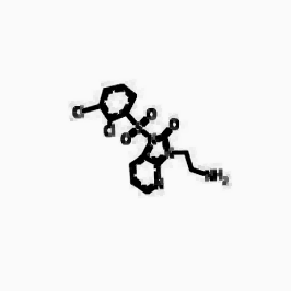 NCCn1c(=O)n(S(=O)(=O)c2cccc(Cl)c2Cl)c2cccnc21